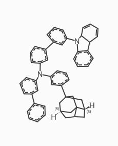 C1=CC2c3ccccc3N(c3cccc(-c4cccc(N(c5cccc(-c6ccccc6)c5)c5cccc(C67C[C@@H]8CC9C[C@@H](C6)C9(C8)C7)c5)c4)c3)C2C=C1